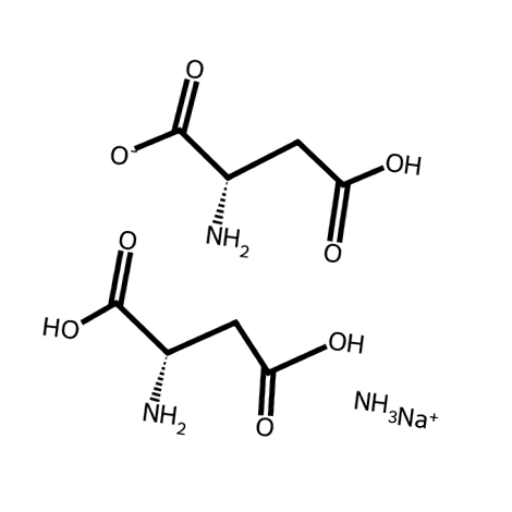 N.N[C@@H](CC(=O)O)C(=O)O.N[C@@H](CC(=O)O)C(=O)[O-].[Na+]